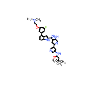 CN(C)CCOc1cc(F)cc(-c2cccc3[nH]c(-c4n[nH]c5cnc(-c6cncc(NC(=O)CC(C)(C)C)c6)cc45)cc23)c1